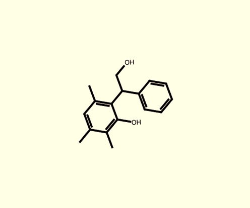 Cc1cc(C)c(C(CO)c2ccccc2)c(O)c1C